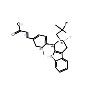 C[C@@H]1CC(/C=C/C(=O)O)=CC=C1[C@@H]1c2[nH]c3ccccc3c2C[C@@H](C)N1CC(C)(C)F